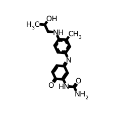 Cc1cc(N=C2C=CC(=O)C(NC(N)=O)=C2)ccc1NCC(C)O